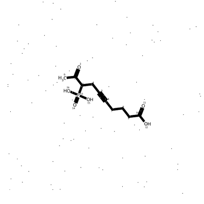 CC(=O)C(CC#CCCCC(=O)O)P(=O)(O)O